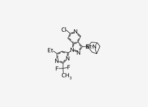 CCc1cc(-n2nc(N3CC4CC(C3)N4CC)c3cnc(Cl)cc32)nc(C(C)(F)F)n1